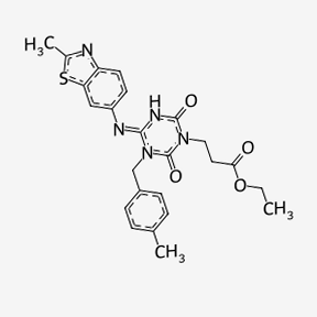 CCOC(=O)CCn1c(=O)[nH]/c(=N\c2ccc3nc(C)sc3c2)n(Cc2ccc(C)cc2)c1=O